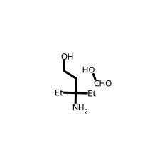 CCC(N)(CC)CCO.O=CO